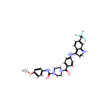 COc1ccc(NC(=O)N2CCN(C(=O)c3ccc(Nc4ccnc5cc(C(F)(F)F)ccc45)cc3)CC2)cc1